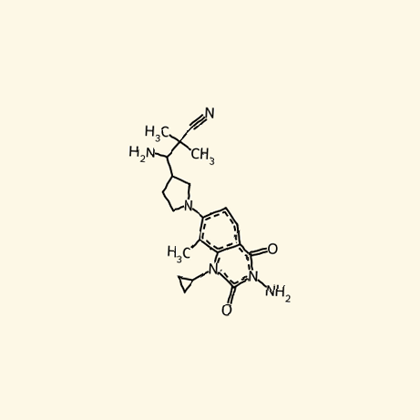 Cc1c(N2CCC(C(N)C(C)(C)C#N)C2)ccc2c(=O)n(N)c(=O)n(C3CC3)c12